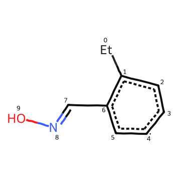 CCc1cc[c]cc1C=NO